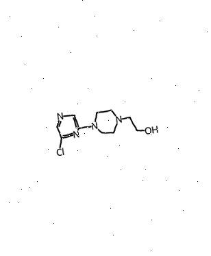 OCCN1CCN(c2cncc(Cl)n2)CC1